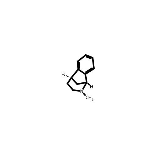 CN1CC[C@@H]2C[C@@H]1c1ccccc12